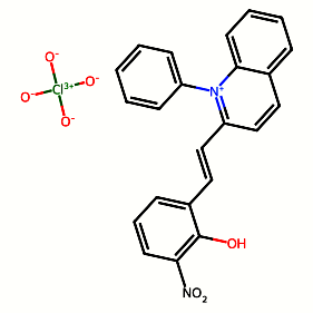 O=[N+]([O-])c1cccc(/C=C/c2ccc3ccccc3[n+]2-c2ccccc2)c1O.[O-][Cl+3]([O-])([O-])[O-]